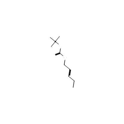 CC/C=C/COC(=O)OC(C)(C)C